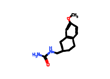 COc1ccc2c(c1)CC(CNC(N)=O)CC2